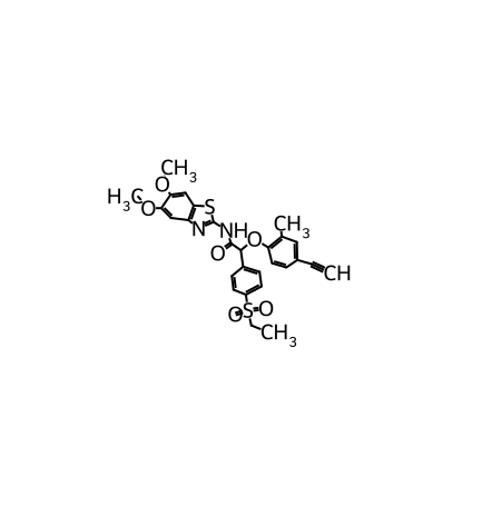 C#Cc1ccc(OC(C(=O)Nc2nc3cc(OC)c(OC)cc3s2)c2ccc(S(=O)(=O)CC)cc2)c(C)c1